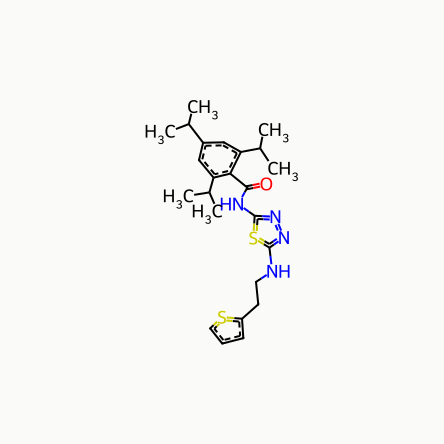 CC(C)c1cc(C(C)C)c(C(=O)Nc2nnc(NCCc3cccs3)s2)c(C(C)C)c1